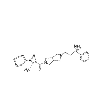 Cc1c(C(=O)N2CC3CN(CC[C@H](N)c4ccccc4)CC3C2)cnn1-c1ccccc1